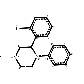 Clc1ccccc1C1CNCCN1c1ccccc1